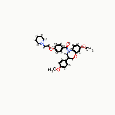 COc1ccc(C2COc3cc(OC)ccc3N(C(=O)c3ccc(OCCN4CCCCC4)cc3)C2)cc1